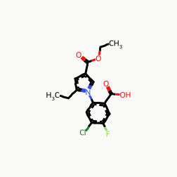 CCOC(=O)c1cc(CC)n(-c2cc(Cl)c(F)cc2C(=O)O)c1